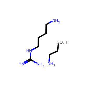 N=C(N)NCCCCN.NCCS(=O)(=O)O